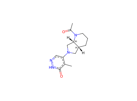 CC(=O)N1CCC[C@@H]2CN(c3cn[nH]c(=O)c3C)C[C@@H]21